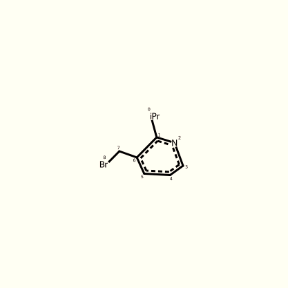 CC(C)c1ncccc1CBr